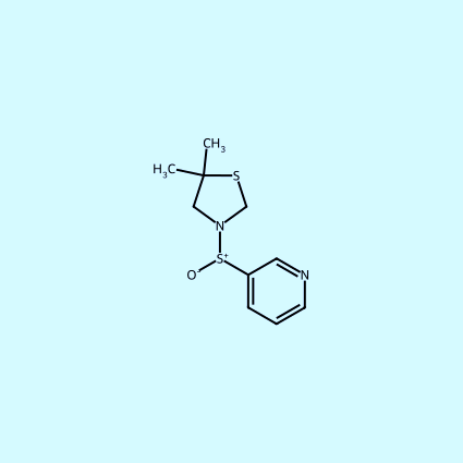 CC1(C)CN([S+]([O-])c2cccnc2)CS1